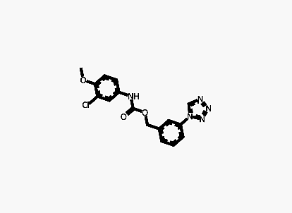 COc1ccc(NC(=O)OCc2cccc(-n3cnnn3)c2)cc1Cl